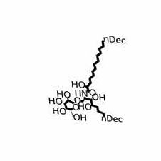 CCCCCCCCCCCCCCCCCCCCCCC(O)C(=O)N[C@H](CO[C@H]1O[C@H](CO)[C@H](O)[C@H](O)[C@H]1O)[C@H](O)[C@H](O)CCCCCCCCCCCCC